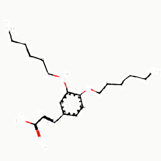 CCCCCCOc1ccc(/C=C/C(=O)O)cc1OCCCCCC